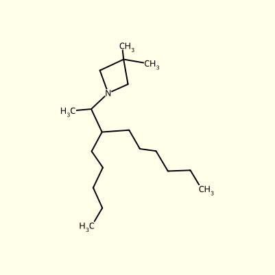 CCCCCCC(CCCCC)C(C)N1CC(C)(C)C1